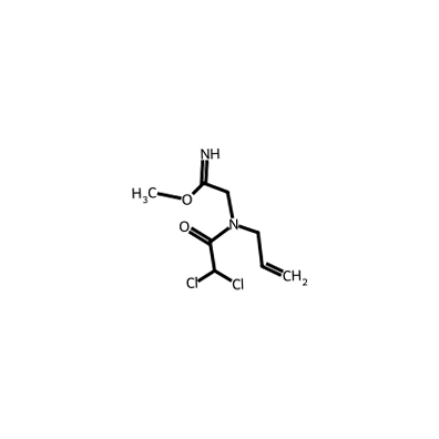 C=CCN(CC(=N)OC)C(=O)C(Cl)Cl